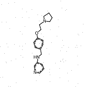 c1cncc(NCc2ccc(OCCN3CCCC3)cc2)c1